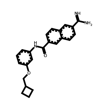 N=C(N)c1ccc2cc(C(=O)Nc3cccc(OCC4CCC4)c3)ccc2c1